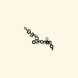 N#Cc1ccc(-c2ncc(CN3CC[C@@H](C(=O)N4CCC(O)(Cn5cnc6c(ccn6-c6ccc(F)cc6)c5=O)CC4)[C@H](c4ccccc4)C3)s2)cn1